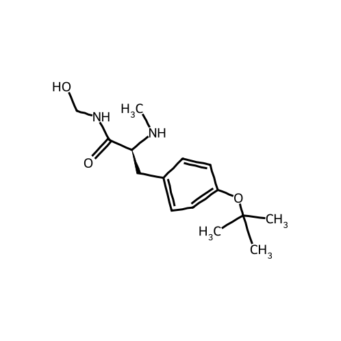 CN[C@@H](Cc1ccc(OC(C)(C)C)cc1)C(=O)NCO